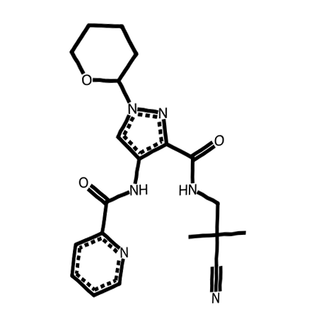 CC(C)(C#N)CNC(=O)c1nn(C2CCCCO2)cc1NC(=O)c1ccccn1